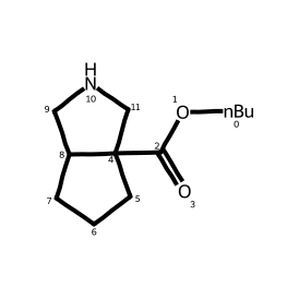 CCCCOC(=O)C12CCCC1CNC2